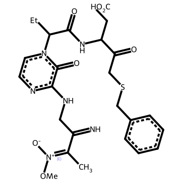 CCC(C(=O)NC(CC(=O)O)C(=O)CSCc1ccccc1)n1ccnc(NCC(=N)/C(C)=[N+](\[O-])OC)c1=O